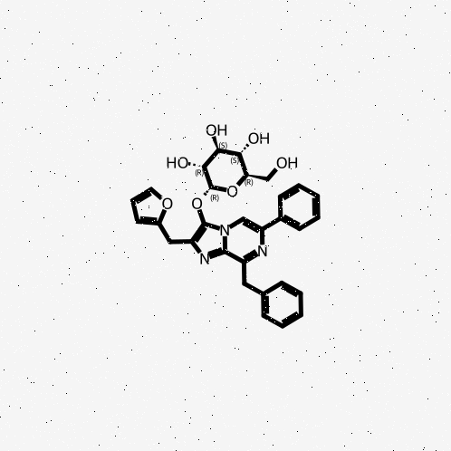 OC[C@H]1O[C@H](Oc2c(Cc3ccco3)nc3c(Cc4ccccc4)nc(-c4ccccc4)cn23)[C@H](O)[C@@H](O)[C@@H]1O